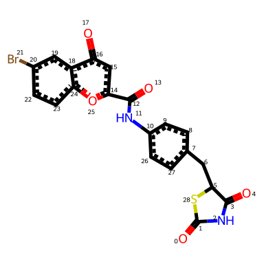 O=C1NC(=O)C(Cc2ccc(NC(=O)c3cc(=O)c4cc(Br)ccc4o3)cc2)S1